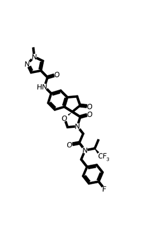 C[C@H](N(Cc1ccc(F)cc1)C(=O)CN1CO[C@]2(C(=O)Cc3cc(NC(=O)c4cnn(C)c4)ccc32)C1=O)C(F)(F)F